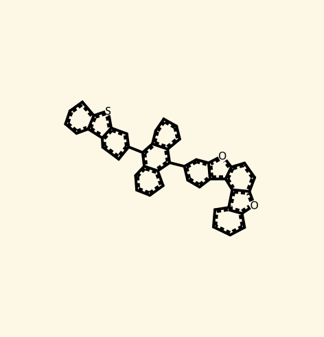 c1ccc2c(c1)oc1ccc3oc4cc(-c5c6ccccc6c(-c6ccc7c(c6)sc6ccccc67)c6ccccc56)ccc4c3c12